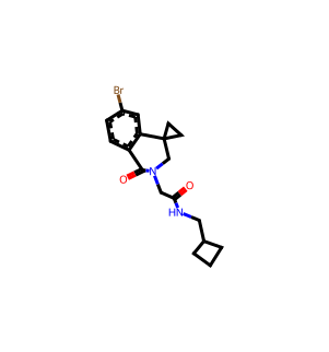 O=C(CN1CC2(CC2)c2cc(Br)ccc2C1=O)NCC1CCC1